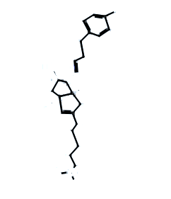 Cc1ccc(CC/C=C/[C@@H]2[C@H]3CC(CCCCCN(C)C)=C[C@H]3C[C@H]2O)cc1